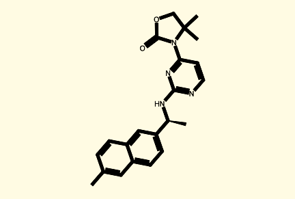 Cc1ccc2cc([C@H](C)Nc3nccc(N4C(=O)OCC4(C)C)n3)ccc2c1